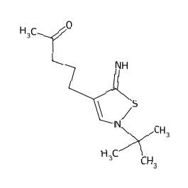 CC(=O)CCCc1cn(C(C)(C)C)sc1=N